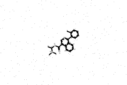 Cc1ccccc1-c1ncc(C(=O)OC(C)N(C)C)c2ccccc12